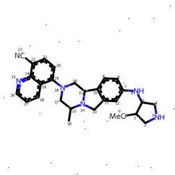 COC1CNCC1Nc1ccc2c(c1)CN1C(C)CN(c3ccc(C#N)c4ncccc34)CC21